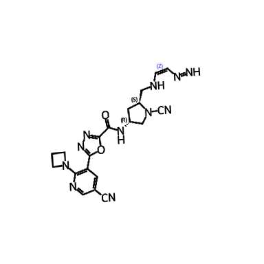 N#Cc1cnc(N2CCC2)c(-c2nnc(C(=O)N[C@@H]3C[C@@H](CN/C=C\N=N)N(C#N)C3)o2)c1